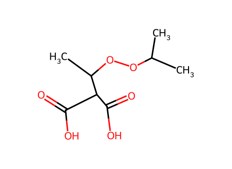 CC(C)OOC(C)C(C(=O)O)C(=O)O